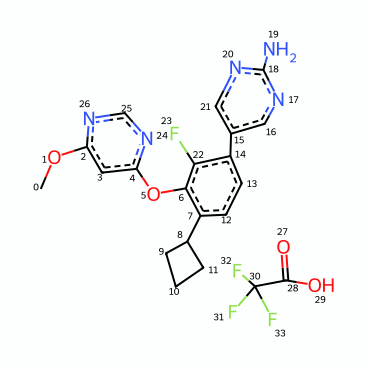 COc1cc(Oc2c(C3CCC3)ccc(-c3cnc(N)nc3)c2F)ncn1.O=C(O)C(F)(F)F